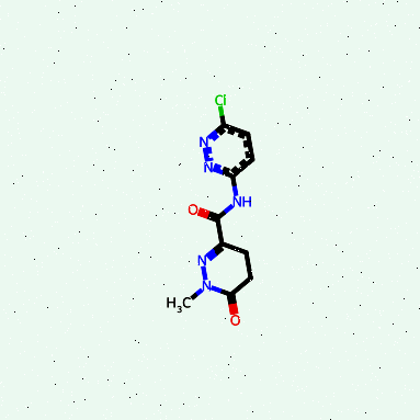 CN1N=C(C(=O)Nc2ccc(Cl)nn2)CCC1=O